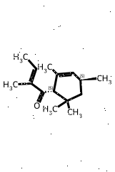 CC=C(C)C(=O)[C@@H]1C(C)=C[C@@H](C)CC1(C)C